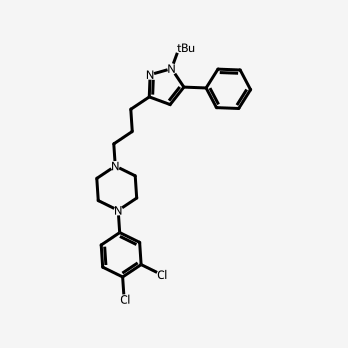 CC(C)(C)n1nc(CCCN2CCN(c3ccc(Cl)c(Cl)c3)CC2)cc1-c1ccccc1